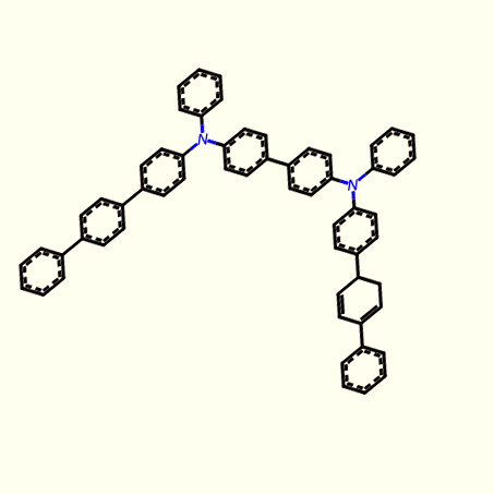 C1=CC(c2ccc(N(c3ccccc3)c3ccc(-c4ccc(N(c5ccccc5)c5ccc(-c6ccc(-c7ccccc7)cc6)cc5)cc4)cc3)cc2)CC=C1c1ccccc1